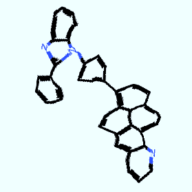 C1=CC2=CC3=C4C(=CC=C5C=CC(c6ccc(-n7c(-c8ccccc8)nc8ccccc87)cc6)=C(C=C3)C54)C2N=C1